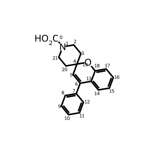 O=C(O)N1CCC2(C=C(c3ccccc3)c3ccccc3O2)CC1